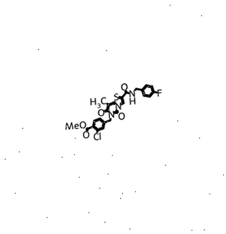 COC(=O)c1ccc(Cn2c(=O)c(C)c3sc(C(=O)NCc4ccc(F)cc4)cn3c2=O)cc1Cl